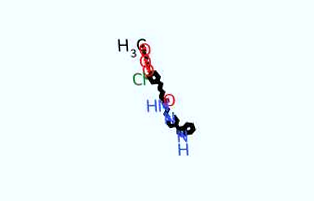 COCCOCOc1ccc(/C=C/C=C/C(=O)NCCN2CCC(c3c[nH]c4ccccc34)CC2)cc1Cl